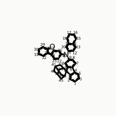 c1ccc2c(c1)-c1ccc(N(c3ccc4ccccc4c3)c3ccc4c(c3)oc3ccccc34)cc1C21C2CC3CC(C2)CC1C3